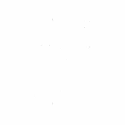 Cc1cc(CCCOp2oc3c(C(C)(C)C)cc(C(C)(C)C)cc3c3cc(C(C)(C)C)cc(C(C)(C)C)c3o2)cc(C)c1O